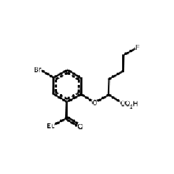 CCC(=O)c1cc(Br)ccc1OC(CCCF)C(=O)O